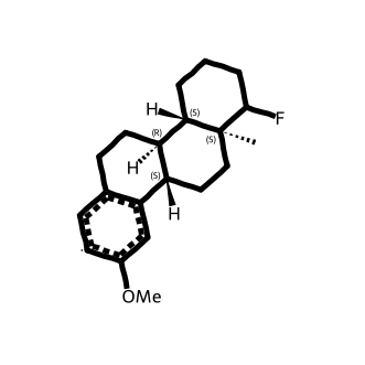 COc1[c]cc2c(c1)[C@H]1CC[C@]3(C)C(F)CCC[C@H]3[C@@H]1CC2